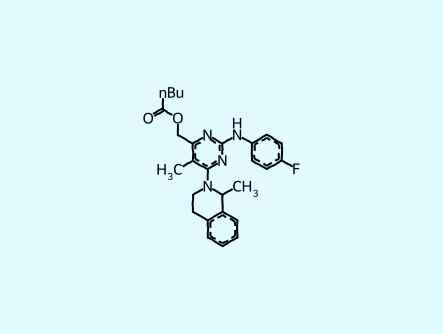 CCCCC(=O)OCc1nc(Nc2ccc(F)cc2)nc(N2CCc3ccccc3C2C)c1C